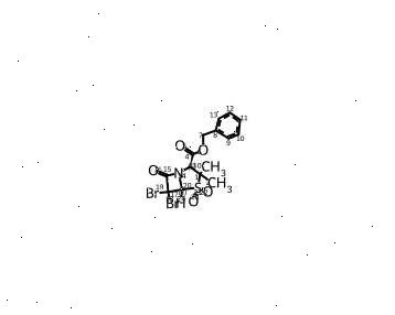 CC1(C)[C@H](C(=O)OCc2ccccc2)N2C(=O)C(Br)(Br)[C@H]2S1(=O)=O